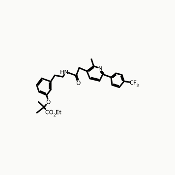 CCOC(=O)C(C)(C)Oc1cccc(CCNC(=O)Cc2ccc(-c3ccc(C(F)(F)F)cc3)nc2C)c1